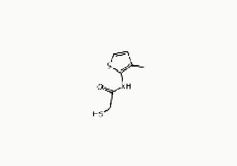 Cc1ccsc1NC(=O)CS